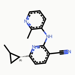 Cc1ncccc1Nc1nc([C@@H]2CC2C)ccc1C#N